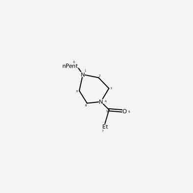 CCCCCN1CCN(C(=O)CC)CC1